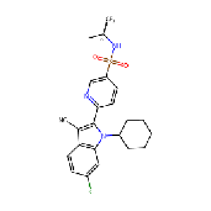 C[C@H](NS(=O)(=O)c1ccc(-c2c(C#N)c3ccc(Cl)cc3n2C2CCCCC2)nc1)C(F)(F)F